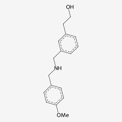 COc1ccc(CNCc2cccc(CCO)c2)cc1